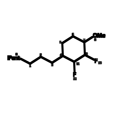 CCCC(C)CCCC1CCC(OC)C(F)C1F